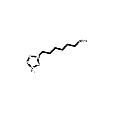 CCCCCCCCCCCC[SiH]1OO[SiH2]O1